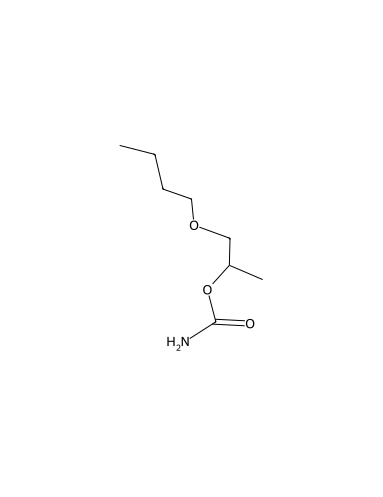 CCCCOCC(C)OC(N)=O